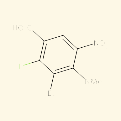 CCc1c(F)c(C(=O)O)cc([N+](=O)[O-])c1NC